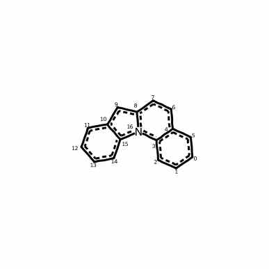 c1ccc2c(c1)ccc1cc3ccccc3n12